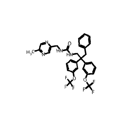 Cc1cnc(CNC(=O)NCC(Cc2ccccc2)(c2cccc(OC(F)(F)F)c2)c2cccc(OC(F)(F)F)c2)cn1